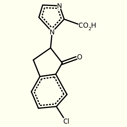 O=C(O)c1nccn1C1Cc2ccc(Cl)cc2C1=O